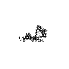 CCn1ncc(CCCCCn2nc(C)cc2C(=O)Nc2nc3cc(C(N)=O)cc4c3n2CCO4)c1C(=O)Nc1nc2c(Br)cccc2n1CC